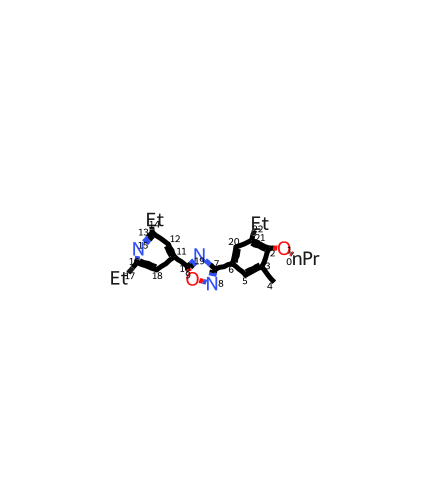 CCCOc1c(C)cc(-c2noc(-c3cc(CC)nc(CC)c3)n2)cc1CC